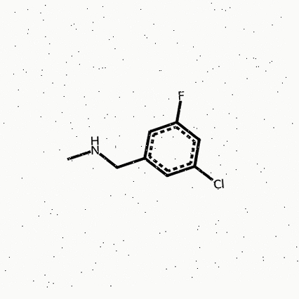 CNCc1cc(F)cc(Cl)c1